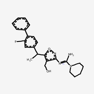 CC(c1ccc(-c2ccccc2)c(F)c1)c1onc(/N=C(\N)N2CCCCC2)c1CO